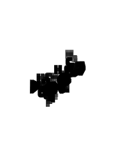 COc1cc(-c2cnc3cc(OCC4CCCCN4C(C)C)ccn23)cc(OC(F)F)c1C(=O)NC1CC1